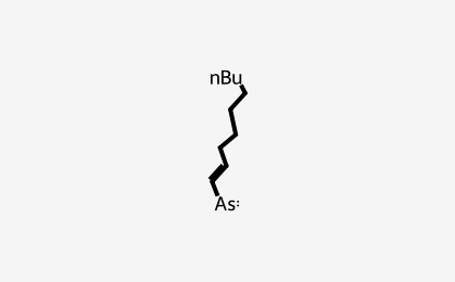 CCCCCCCCC=C[As]